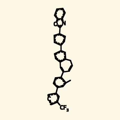 Cc1cc(-c2cccc(C(F)(F)F)c2)ccc1C1=Cc2ccc(-c3ccc(-c4nc5ccccc5o4)cc3)cc2CC=C1